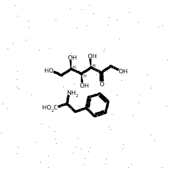 NC(Cc1ccccc1)C(=O)O.O=C(CO)[C@H](O)[C@@H](O)[C@H](O)CO